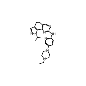 CCN1CCN(c2ccc(Nc3ncc4c(n3)-c3c(cnn3C(C)C)CC4)nc2)CC1